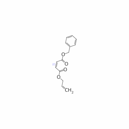 C=CCOC(=O)/C=C\C(=O)OCc1ccccc1